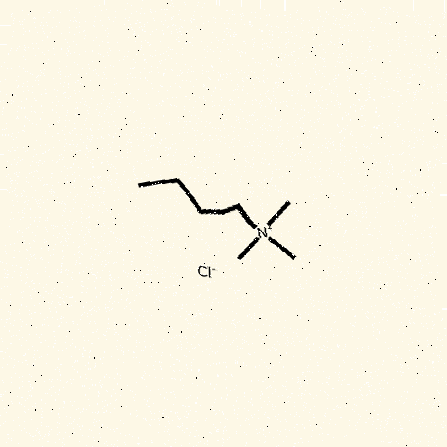 CCCC[N+](C)(C)C.[Cl-]